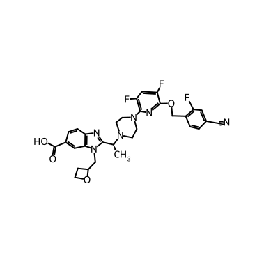 C[C@@H](c1nc2ccc(C(=O)O)cc2n1CC1CCO1)N1CCN(c2nc(OCc3ccc(C#N)cc3F)c(F)cc2F)CC1